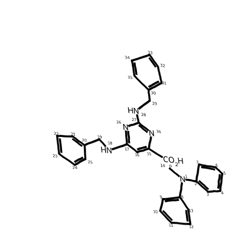 CN(c1ccccc1)c1ccccc1.O=C(O)c1cc(NCc2ccccc2)nc(NCc2ccccc2)n1